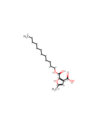 CCCCCCCCCCCCOC(=O)c1oc(C)cc1C(=O)O